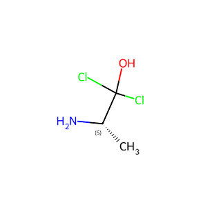 C[C@H](N)C(O)(Cl)Cl